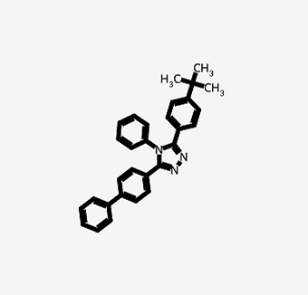 CC(C)(C)c1ccc(-c2nnc(-c3ccc(-c4ccccc4)cc3)n2-c2ccccc2)cc1